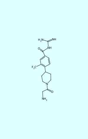 N=C(N)NC(=O)c1ccc(C2CCN(C(=O)CN)CC2)c(C(F)(F)F)c1